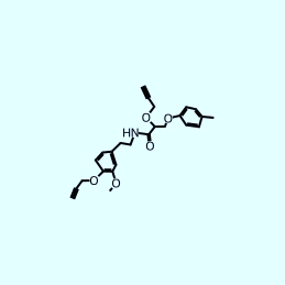 C#CCOc1ccc(CCNC(=O)C(COc2ccc(C)cc2)OCC#C)cc1OC